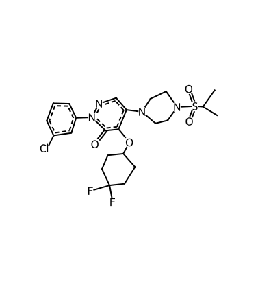 CC(C)S(=O)(=O)N1CCN(c2cnn(-c3cccc(Cl)c3)c(=O)c2OC2CCC(F)(F)CC2)CC1